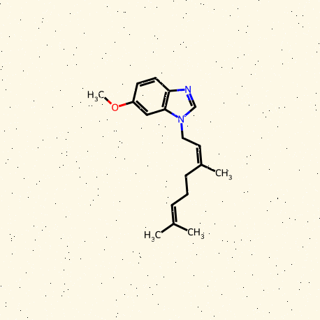 COc1ccc2ncn(CC=C(C)CCC=C(C)C)c2c1